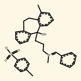 Cc1ccc(S(=O)(=O)[O-])cc1.Cc1cccc2c1CCc1ccccc1C2(O)CCC[N+](C)=Cc1ccccc1